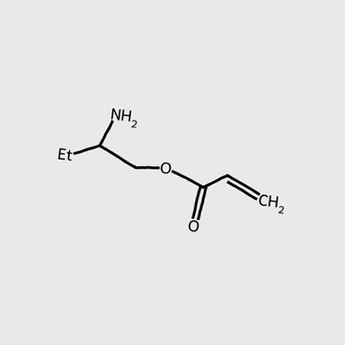 C=CC(=O)OCC(N)CC